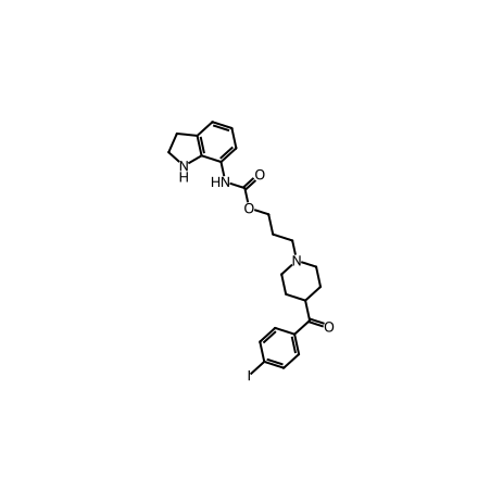 O=C(Nc1cccc2c1NCC2)OCCCN1CCC(C(=O)c2ccc(I)cc2)CC1